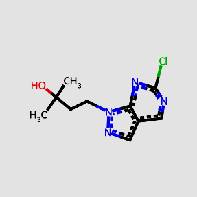 CC(C)(O)CCn1ncc2cnc(Cl)nc21